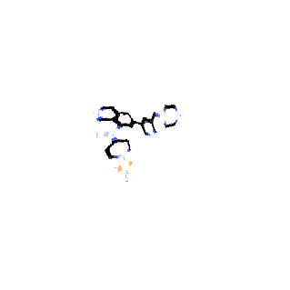 CCS(=O)(=O)N1CCC(Nc2cc(-c3cncc(CN4CCNCC4)c3)cc3ccncc23)CC1